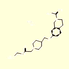 CCOC(=O)CNC(=O)CN1CCC(COc2ccc3c(c2)CN(C(=N)N)CC3)CC1.Cl.Cl